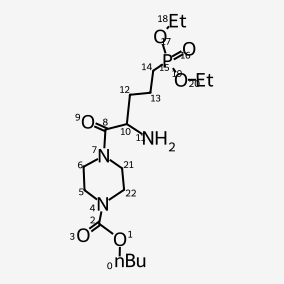 CCCCOC(=O)N1CCN(C(=O)C(N)CCCP(=O)(OCC)OCC)CC1